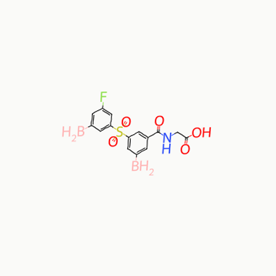 Bc1cc(F)cc(S(=O)(=O)c2cc(B)cc(C(=O)NCC(=O)O)c2)c1